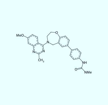 CNC(=O)Nc1ccc(-c2ccc3c(c2)CN(c2nc(C)nc4cc(OC)ccc24)CCO3)cc1